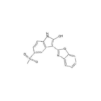 CS(=O)(=O)c1ccc2[nH]c(O)c(-c3nc4ccccc4o3)c2c1